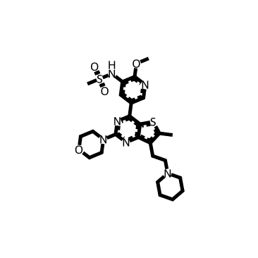 COc1ncc(-c2nc(N3CCOCC3)nc3c(CCN4CCCCC4)c(C)sc23)cc1NS(C)(=O)=O